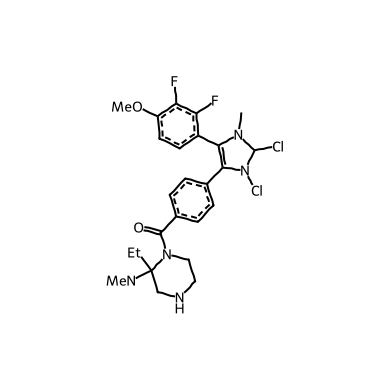 CCC1(NC)CNCCN1C(=O)c1ccc(C2=C(c3ccc(OC)c(F)c3F)N(C)C(Cl)N2Cl)cc1